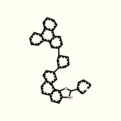 c1ccc(C2Nc3ccc4ccc5ccc(-c6cccc(-c7ccc8c9ccccc9c9ccccc9c8c7)c6)cc5c4c3O2)cc1